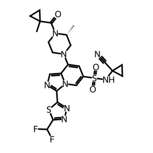 C[C@@H]1CN(c2cc(S(=O)(=O)NC3(C#N)CC3)cn3c(-c4nnc(C(F)F)s4)ncc23)CCN1C(=O)C1(C)CC1